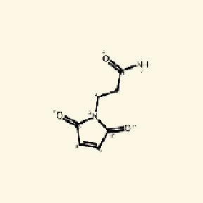 [NH]C(=O)CCN1C(=O)C=CC1=O